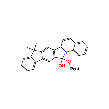 CCCC(C)OC1(O)c2cc3c(cc2C2C=Cc4ccccc4N21)C(C)(C)c1ccccc1-3